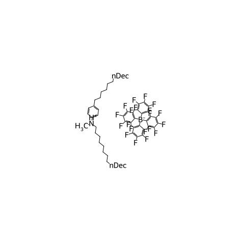 CCCCCCCCCCCCCCCCCC[NH+](C)c1ccc(CCCCCCCCCCCCCCCC)cc1.Fc1c(F)c(F)c([B-](c2c(F)c(F)c(F)c(F)c2F)(c2c(F)c(F)c(F)c(F)c2F)c2c(F)c(F)c(F)c(F)c2F)c(F)c1F